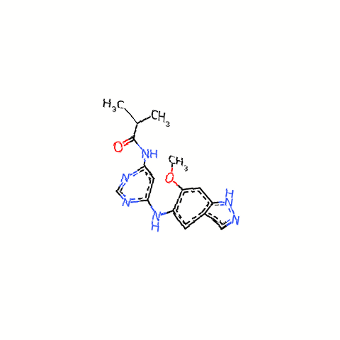 COc1cc2[nH]ncc2cc1Nc1cc(NC(=O)C(C)C)ncn1